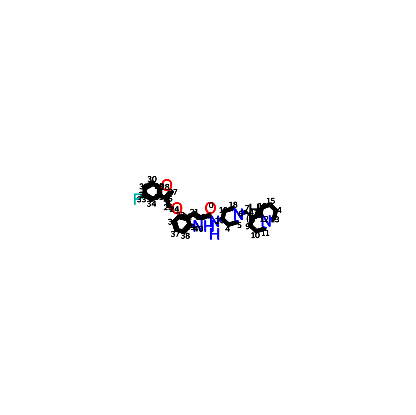 O=C(NC1CCN(C[C@@H]2CCCN3CCCC[C@H]23)CC1)c1cc2c(OCc3coc4ccc(F)cc34)cccc2[nH]1